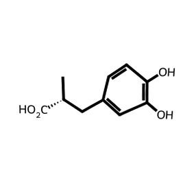 C[C@H](Cc1ccc(O)c(O)c1)C(=O)O